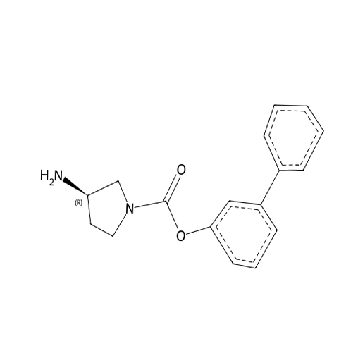 N[C@@H]1CCN(C(=O)Oc2cccc(-c3ccccc3)c2)C1